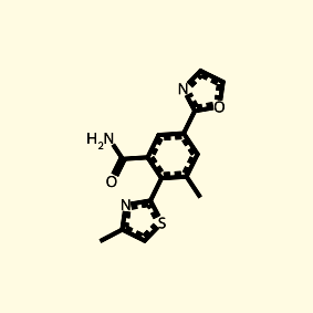 Cc1csc(-c2c(C)cc(-c3ncco3)cc2C(N)=O)n1